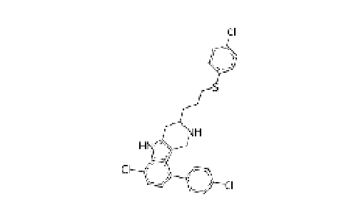 Clc1ccc(SCCCC2Cc3[nH]c4c(Cl)ccc(-c5ccc(Cl)cc5)c4c3CN2)cc1